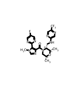 C[C@@H]1CN(C(=O)c2ncn(C)c2-c2ncc(F)cn2)[C@H](CNc2cnc(C(F)(F)F)cn2)[C@H](C)O1